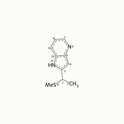 CSC(C)c1cc2ncccc2[nH]1